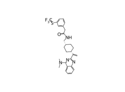 C=C(c1nc(N(C)C)c2ccccc2n1)[C@H]1CC[C@@H](CNC(=O)Cc2cccc(SC(F)(F)F)c2)CC1